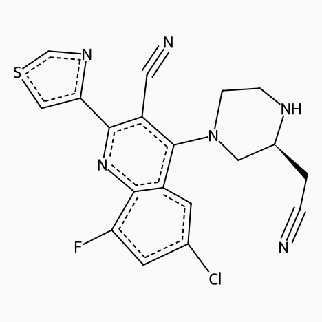 N#CC[C@H]1CN(c2c(C#N)c(-c3cscn3)nc3c(F)cc(Cl)cc23)CCN1